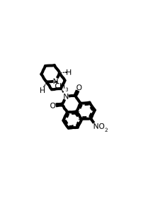 CN1[C@@H]2CCC[C@H]1C[C@H](N1C(=O)c3cccc4c([N+](=O)[O-])ccc(c34)C1=O)C2